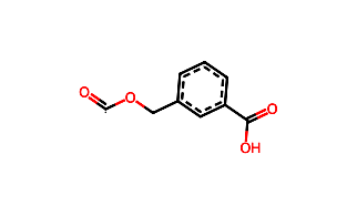 O=[C]OCc1cccc(C(=O)O)c1